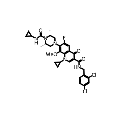 COc1c(N2C[C@@H](C)N(C(=O)NC3CC3)[C@@H](C)C2)c(F)cc2c(=O)c(C(=O)NCc3ccc(Cl)cc3Cl)cn(C3CC3)c12